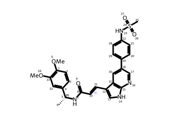 COc1ccc([C@@H](C)NC(=O)/C=C/c2c[nH]c3ncc(-c4ccc(NS(C)(=O)=O)cc4)cc23)cc1OC